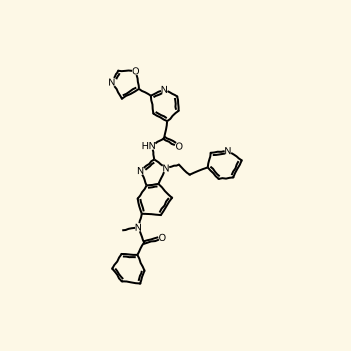 CN(C(=O)c1ccccc1)c1ccc2c(c1)nc(NC(=O)c1ccnc(-c3cnco3)c1)n2CCc1cccnc1